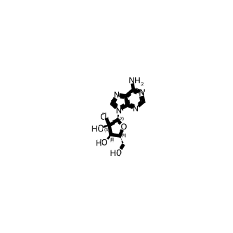 Nc1ncnc2c1ncn2[C@@H]1O[C@H](CO)[C@@H](O)[C@]1(O)Cl